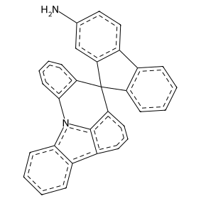 Nc1ccc2c(c1)C1(c3ccccc3-2)c2ccccc2-n2c3ccccc3c3cccc1c32